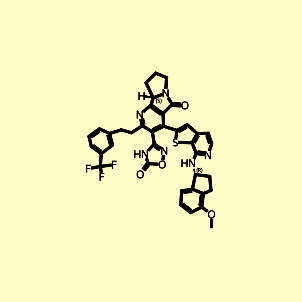 COc1cccc2c1CC[C@H]2Nc1nccc2cc(-c3c4c(nc(CCc5cccc(C(F)(F)F)c5)c3-c3noc(=O)[nH]3)[C@@H]3CCCN3C4=O)sc12